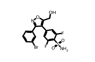 NS(=O)(=O)c1c(F)cc(-c2c(-c3cccc(Br)c3)noc2CO)cc1F